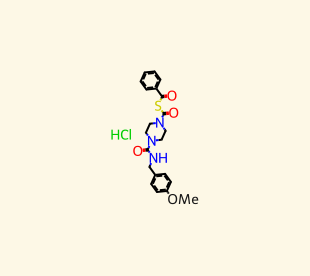 COc1ccc(CNC(=O)N2CCN(C(=O)SC(=O)c3ccccc3)CC2)cc1.Cl